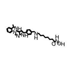 CC(Nc1ncnc2[nH]c(-c3ccc(CNCCCCCCCC(=O)NO)cc3)cc12)c1ccccc1